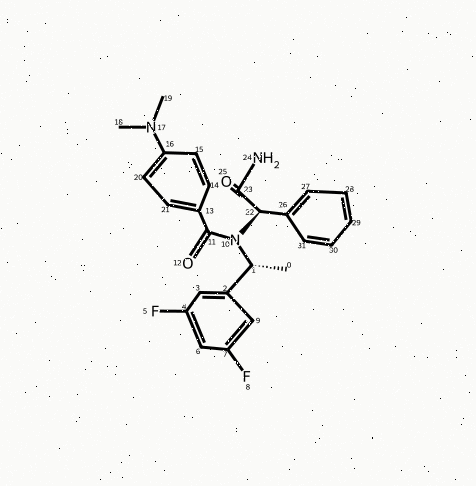 C[C@H](c1cc(F)cc(F)c1)N(C(=O)c1ccc(N(C)C)cc1)[C@@H](C(N)=O)c1ccccc1